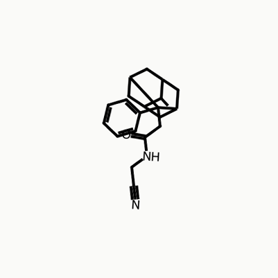 CC1C2CC3CC1CC(C2)C3(CC(=O)NCC#N)c1ccccc1